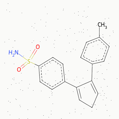 Cc1ccc(C2=CCC=C2c2ccc(S(N)(=O)=O)cc2)cc1